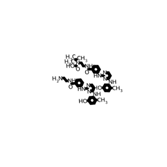 Cc1ccc(O)cc1Nc1ccnc(Nc2cccc(C(=O)NCCN(C(=O)O)C(C)(C)C)c2)n1.Cc1ccc(O)cc1Nc1ccnc(Nc2cccc(C(=O)NCCN)c2)n1